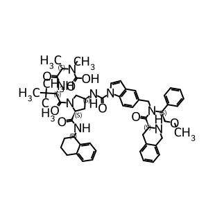 COC[C@H](c1ccccc1)N(Cc1ccc2c(ccn2C(=O)N[C@H]2C[C@@H](C(=O)N[C@@H]3CCCc4ccccc43)N(C(=O)[C@@H](NC(=O)[C@H](C)N(C)C(=O)O)C(C)(C)C)C2)c1)C(=O)[C@@H]1Cc2ccccc2CN1